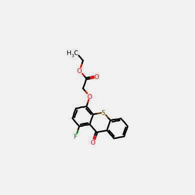 CCOC(=O)COc1ccc(F)c2c(=O)c3ccccc3sc12